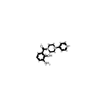 Nc1cccc(C(=O)N2CCN(c3ccncc3)CC2)c1O